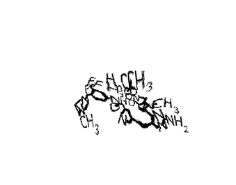 CCN1CCN(Cc2ccc(NC(=O)Cc3cncc(C#Cc4cnc(N)nc4-c4cc5c(n4C)CCN(C(=O)OC(C)(C)C)C5=O)c3)cc2C(F)(F)F)CC1